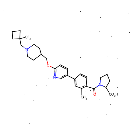 Cc1cc(-c2ccc(OCC3CCN(CC4(C(F)(F)F)CCC4)CC3)nc2)ccc1C(=O)N1CCCC1C(=O)O